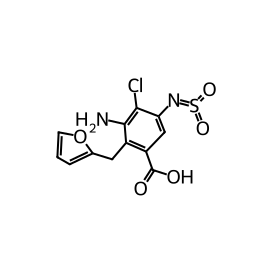 Nc1c(Cl)c(N=S(=O)=O)cc(C(=O)O)c1Cc1ccco1